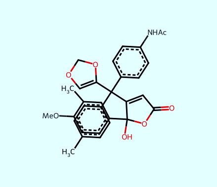 COc1ccc(C2(O)OC(=O)C=C2C(C2=COCO2)(c2ccc(C)cc2)c2ccc(NC(C)=O)cc2)cc1C